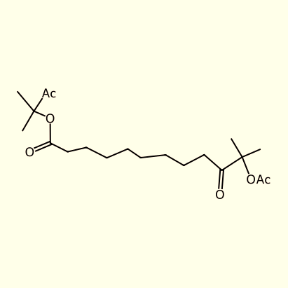 CC(=O)OC(C)(C)C(=O)CCCCCCCCC(=O)OC(C)(C)C(C)=O